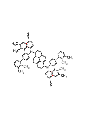 Cc1cccc(-c2ccc(N(C3=C4C=CC5=C6C(=CC=C(C=C3)C46)C(N(c3ccc(C#N)cc3)c3ccc(-c4cccc(C)c4C)cc3-c3cccc(C)c3C)C=C5)c3ccc(C#N)cc3)c(-c3cccc(C)c3C)c2)c1C